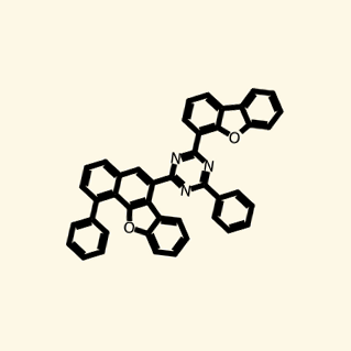 c1ccc(-c2nc(-c3cccc4c3oc3ccccc34)nc(-c3cc4cccc(-c5ccccc5)c4c4oc5ccccc5c34)n2)cc1